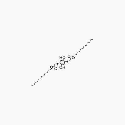 CCCCCCCCCCCCOC(=O)CC(C)(C)c1cc(O)c(C(C)(C)CC(=O)OCCCCCCCCCCCC)cc1O